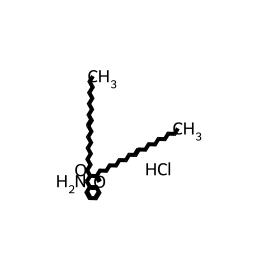 CCCCCCCCC=CCCCCCCCC(=O)C(C(=O)CCCCCCCC=CCCCCCCCC)C(N)c1ccccc1.Cl